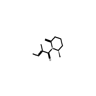 C=C1CCC[C@@H](C)N1C(=O)/C(C)=C/C